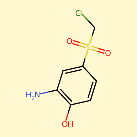 Nc1cc(S(=O)(=O)CCl)ccc1O